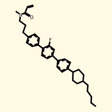 C=CC(=O)N(C)CCCc1ccc(-c2ccc(-c3ccc(C4CCC(CCCCC)CC4)cc3)cc2F)cc1